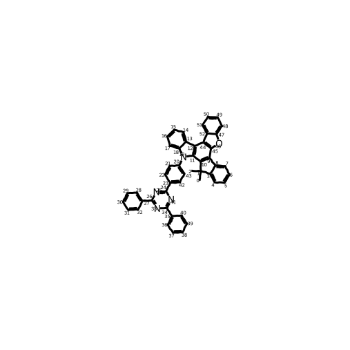 CC1(C)c2ccccc2-c2c1c1c(c3ccccc3n1-c1ccc(-c3nc(-c4ccccc4)nc(-c4ccccc4)n3)cc1)c1c2oc2ccccc21